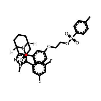 Cc1ccc(S(=O)(=O)OCCOc2cccc(C(=O)N3[C@@H]4CCC[C@H]3c3nn(C)c(-c5cc(F)cc(F)c5)c3C4)c2)cc1